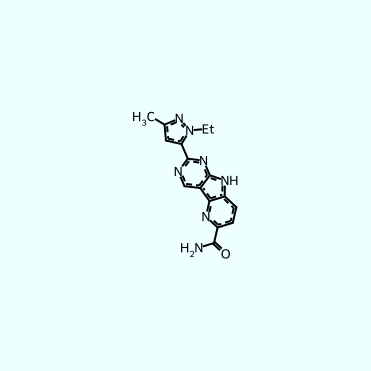 CCn1nc(C)cc1-c1ncc2c(n1)[nH]c1ccc(C(N)=O)nc12